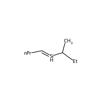 [CH2]CCC=[SiH]C(C)CC